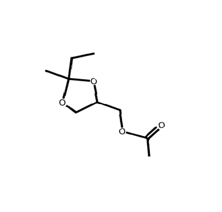 CCC1(C)OCC(COC(C)=O)O1